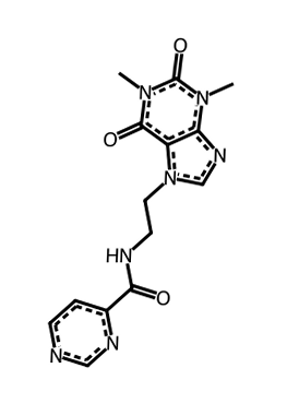 Cn1c(=O)c2c(ncn2CCNC(=O)c2ccncn2)n(C)c1=O